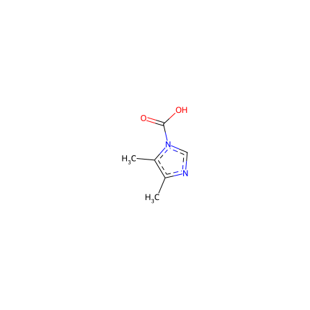 Cc1ncn(C(=O)O)c1C